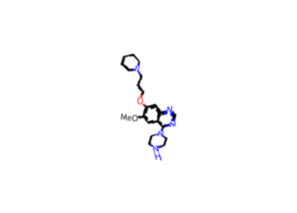 COc1cc2c(N3CCNCC3)ncnc2cc1OCCCN1CCCCC1